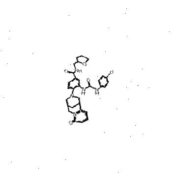 O=C(Nc1ccc(Cl)cc1)Nc1cc(C(=O)NCC2CCCO2)ccc1N1CC2CC(C1)c1cccc(=O)n1C2